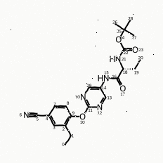 CCc1cc(C#N)ccc1Oc1ncc(NC(=O)[C@@H](CC)NC(=O)OC(C)(C)C)cn1